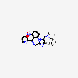 Cc1nc2n(c1CN(C)C)-c1cccc([N+](=O)[O-])c1C(c1ccccn1)=NC2